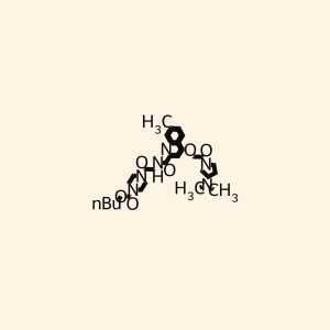 CCCCOC(=O)N1CCN(C(=O)CNC(=O)c2cc(OCC(=O)N3CC[C@@H](N(C)C)C3)c3ccc(C)cc3n2)CC1